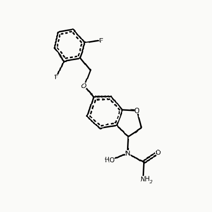 NC(=O)N(O)C1COc2cc(OCc3c(F)cccc3F)ccc21